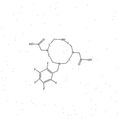 O=C(O)CN1CCNCCN(CC(=O)O)CCN(Cc2c(F)c(F)c(F)c(F)c2F)CC1